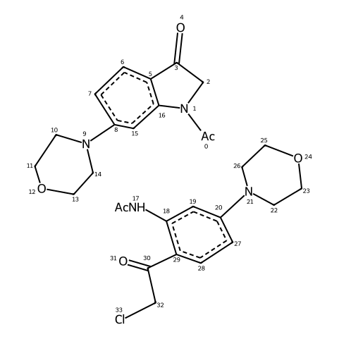 CC(=O)N1CC(=O)c2ccc(N3CCOCC3)cc21.CC(=O)Nc1cc(N2CCOCC2)ccc1C(=O)CCl